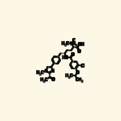 CC(=O)c1nc(-c2ccc(C[C@H](CCC(C(=O)O)N(C)C)NC(=O)c3ccc(OC(C)C)c(Cl)c3)cc2)cn1C